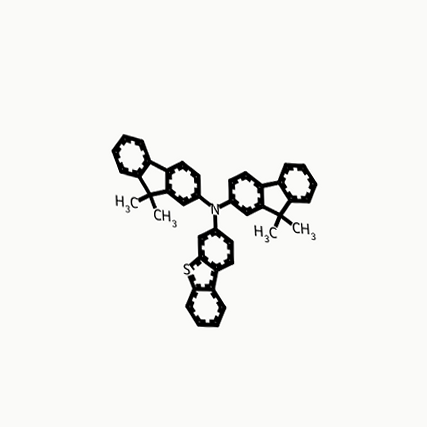 CC1(C)c2ccccc2-c2ccc(N(c3ccc4c(c3)C(C)(C)c3ccccc3-4)c3ccc4c(c3)sc3ccccc34)cc21